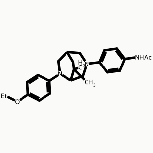 CCOc1ccc(N2CC3CN(c4ccc(NC(C)=O)cc4)CC2C(C)(C)C3)cc1